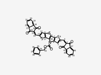 O=C1C(=Cc2cc3c(s2)c2sc4cc(C=C5C(=O)c6ccccc6C5=O)sc4c2n3C(=O)OCc2ccccc2)C(=O)c2ccccc21